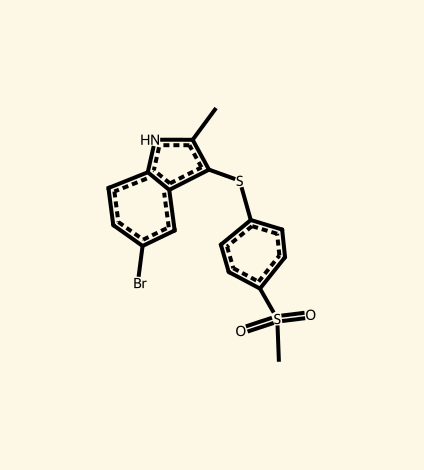 Cc1[nH]c2ccc(Br)cc2c1Sc1ccc(S(C)(=O)=O)cc1